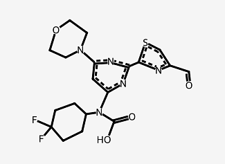 O=Cc1csc(-c2nc(N3CCOCC3)cc(N(C(=O)O)C3CCC(F)(F)CC3)n2)n1